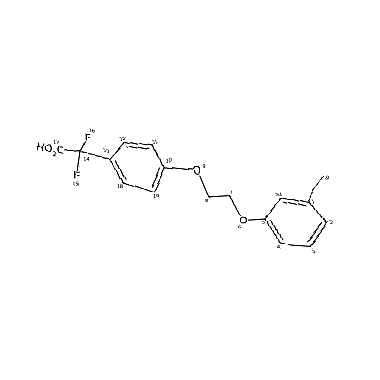 Cc1cccc(OCCOc2ccc(C(F)(F)C(=O)O)cc2)c1